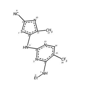 CCNc1nc(Nc2sc(C#N)nc2C)ncc1C(F)(F)F